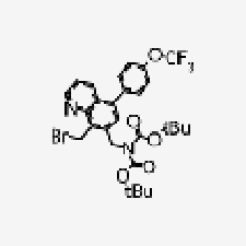 CC(C)(C)OC(=O)N(Cc1cc(-c2ccc(OC(F)(F)F)cc2)c2cccnc2c1CBr)C(=O)OC(C)(C)C